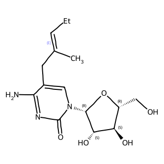 CC/C=C(\C)Cc1cn([C@@H]2O[C@H](CO)[C@@H](O)[C@@H]2O)c(=O)nc1N